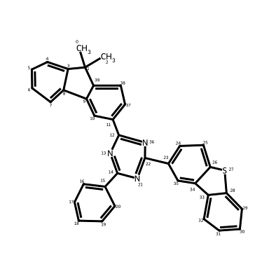 CC1(C)c2ccccc2-c2cc(-c3nc(-c4ccccc4)nc(-c4ccc5sc6ccccc6c5c4)n3)ccc21